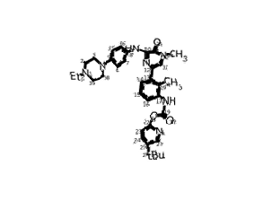 CCN1CCN(c2ccc(Nc3nc(-c4cccc(NC(=O)Oc5ccc(C(C)(C)C)cn5)c4C)cn(C)c3=O)cc2)CC1